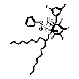 CCCCCCCCC(CCCCCCCC)COC(=O)[C@H](Cc1cc(F)cc(F)c1)N[P@](=O)(Oc1ccccc1)Oc1c(F)c(F)c(F)c(F)c1F